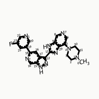 CN1CCN(c2cncc3[nH]c(-c4n[nH]c5cnc(-c6cncc(F)c6)cc45)nc23)CC1